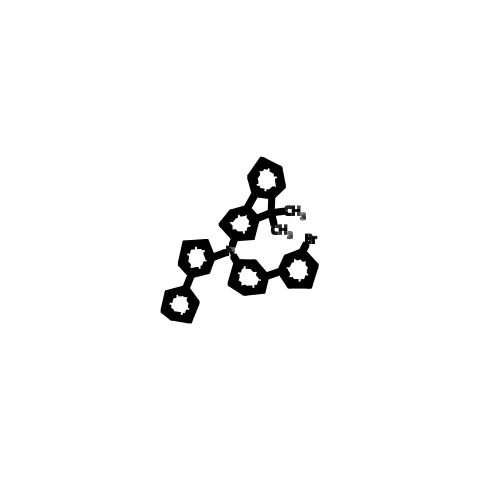 CC1(C)c2ccccc2-c2ccc(N(c3cccc(-c4ccccc4)c3)c3cccc(-c4cccc(Br)c4)c3)cc21